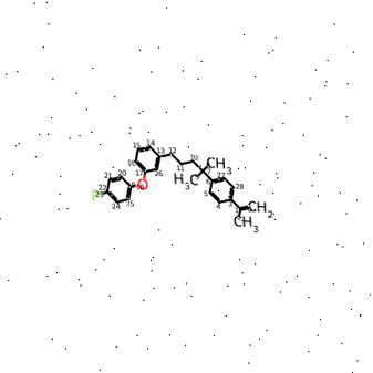 C=C(C)c1ccc(C(C)(C)CCCc2cccc(Oc3ccc(F)cc3)c2)cc1